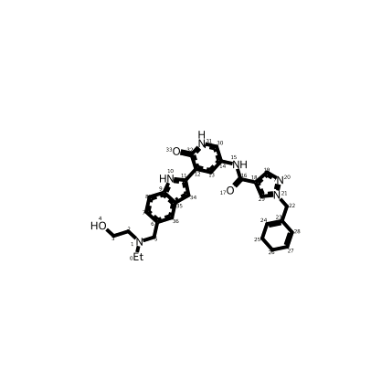 CCN(CCO)Cc1ccc2[nH]c(-c3cc(NC(=O)c4cnn(CC5=CCCC=C5)c4)c[nH]c3=O)cc2c1